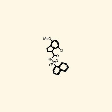 COc1ccc(Cl)c2c1CCC2C(=O)NS(=O)(=O)c1cccc2ccccc12